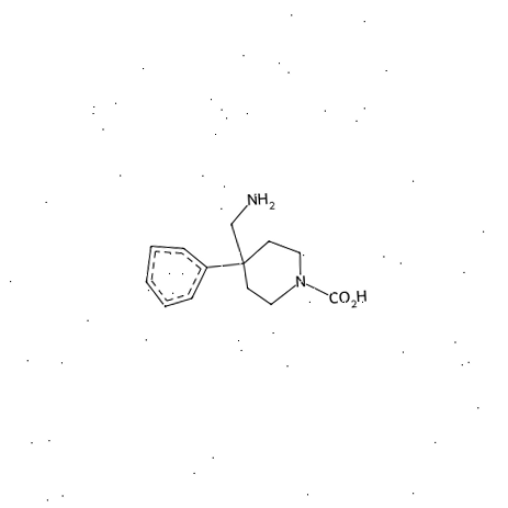 NCC1(c2ccccc2)CCN(C(=O)O)CC1